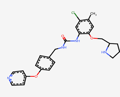 Cc1cc(OCC2CCCN2)c(NC(=O)NCc2ccc(Oc3ccncc3)cc2)cc1Cl